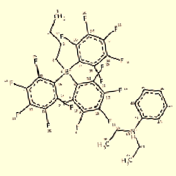 CCCC[B-](c1c(F)c(F)c(F)c(F)c1F)(c1c(F)c(F)c(F)c(F)c1F)c1c(F)c(F)c(F)c(F)c1F.CC[NH+](CC)c1ccccc1